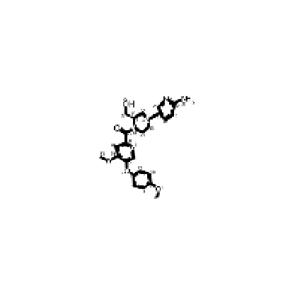 COc1ccc(Oc2cnc(C(=O)N3CCN(c4ccc(N)nc4)C[C@@H]3CO)cc2OC)cc1